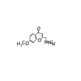 COc1ccc2c(=O)cc(CN=[N+]=[N-])oc2c1